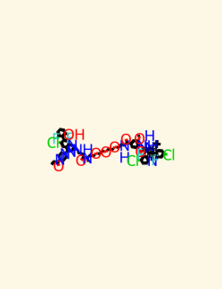 C=CC(=O)N1CCN(c2nc(NCCC(=O)N(C)CCOCCOCCOCCNC(=O)c3ccc(NC(=O)[C@@H]4N[C@@H](CC(C)(C)C)[C@](C#N)(c5ccc(Cl)cc5F)[C@H]4c4cccc(Cl)c4F)c(OC)c3)nc3c(F)c(-c4c(O)cccc4F)c(Cl)cc23)CC1